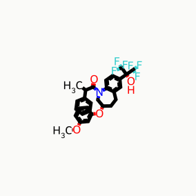 COc1cccc(OC2CCc3cc(C(O)(C(F)(F)F)C(F)(F)F)ccc3N(C(=O)C(C)c3ccccc3)C2)c1